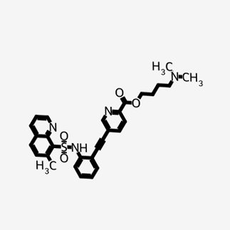 Cc1ccc2cccnc2c1S(=O)(=O)Nc1ccccc1C#Cc1ccc(C(=O)OCCCCN(C)C)nc1